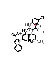 CC(C)CN(CC(C)C)c1c(Cl)cc(-n2c(C(=O)O)cc3ccccc32)cc1NC(=O)Nc1ccc(Cl)cc1